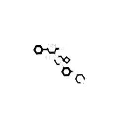 N=C(N)/C(=C\C(=N)c1ccccc1O)N1CCN(c2cccc(OC3CCNCC3)c2)C2(CCC2)C1